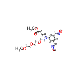 COCCOCCOCCN(CCCC(=O)OC)c1cc(CN=O)cc(CN=O)c1